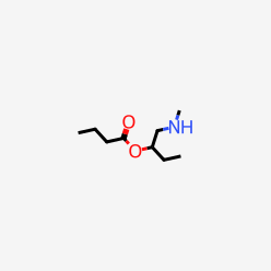 CCCC(=O)OC(CC)CNC